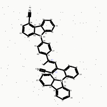 C/C(=C\C(=C/C#N)c1ccccc1N1c2ccccc2C2C=CC=CC21)c1ccc(-n2c3ccccc3c3c(C#N)cccc32)cc1